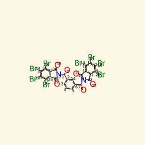 O=C(c1cccc(C(=O)N2C(=O)c3c(Br)c(Br)c(Br)c(Br)c3C2=O)c1)N1C(=O)c2c(Br)c(Br)c(Br)c(Br)c2C1=O